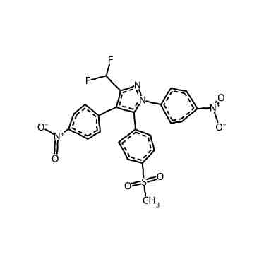 CS(=O)(=O)c1ccc(-c2c(-c3ccc([N+](=O)[O-])cc3)c(C(F)F)nn2-c2ccc([N+](=O)[O-])cc2)cc1